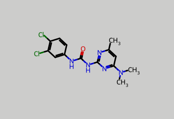 Cc1cc(N(C)C)nc(NC(=O)Nc2ccc(Cl)c(Cl)c2)n1